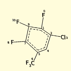 Fc1c(Cl)cc(C(F)(F)F)c(F)c1F